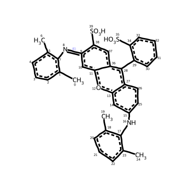 Cc1cccc(C)c1/N=c1\cc2oc3cc(Nc4c(C)cccc4C)ccc3c(-c3ccccc3S(=O)(=O)O)c-2cc1S(=O)(=O)O